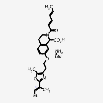 CC(C)(C)N.CC=CC=CC(=O)N1CCc2ccc(OCCc3nc(/C(C)=C/CC)oc3C)cc2C1C(=O)O